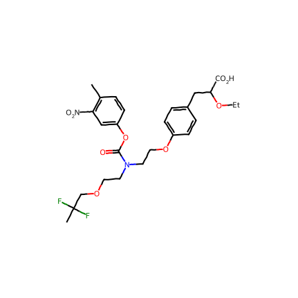 CCOC(Cc1ccc(OCCN(CCOCC(C)(F)F)C(=O)Oc2ccc(C)c([N+](=O)[O-])c2)cc1)C(=O)O